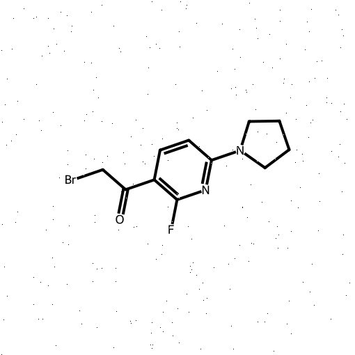 O=C(CBr)c1ccc(N2CCCC2)nc1F